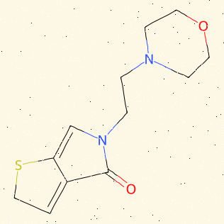 O=C1C2=CCSC2=CN1CCN1CCOCC1